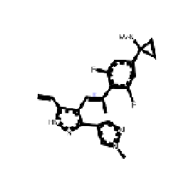 C=Cc1[nH]nc(-c2cnn(C)c2)c1/C=C(\C)c1c(F)cc(C2(NC)CC2)cc1F